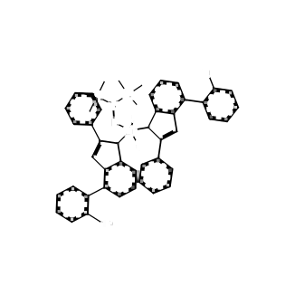 CCC(C)c1ccccc1-c1cccc2c1C=C(c1ccccc1)[CH]2[Zr]([Cl])([Cl])([BH]N([Si](C)(C)C)[Si](C)(C)C)[CH]1C(c2ccccc2)=Cc2c(-c3ccccc3C(C)CC)cccc21